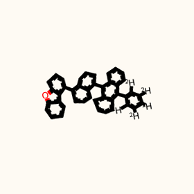 [2H]c1c([2H])c([2H])c(-c2c3ccccc3c(-c3cccc4c(-c5cccc6oc7ccccc7c56)cccc34)c3ccccc23)c([2H])c1[2H]